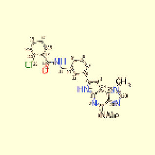 CNc1nc2[nH]c(-c3cccc(CNC(=O)c4ccccc4Cl)c3)cc2c2c1ncn2C